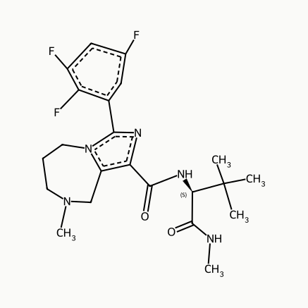 CNC(=O)[C@@H](NC(=O)c1nc(-c2cc(F)cc(F)c2F)n2c1CN(C)CCC2)C(C)(C)C